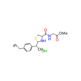 COC(=O)CNC(=O)C1CSC(C(C)c2ccc(CC(C)C)cc2)N1.Cl